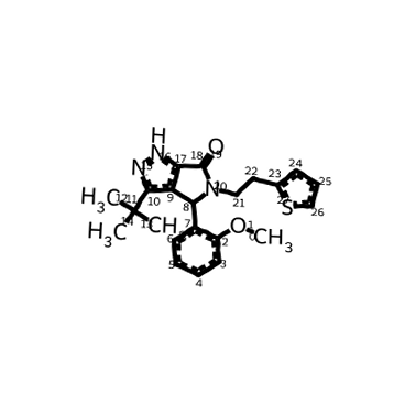 COc1ccccc1C1c2c(C(C)(C)C)n[nH]c2C(=O)N1CCc1cccs1